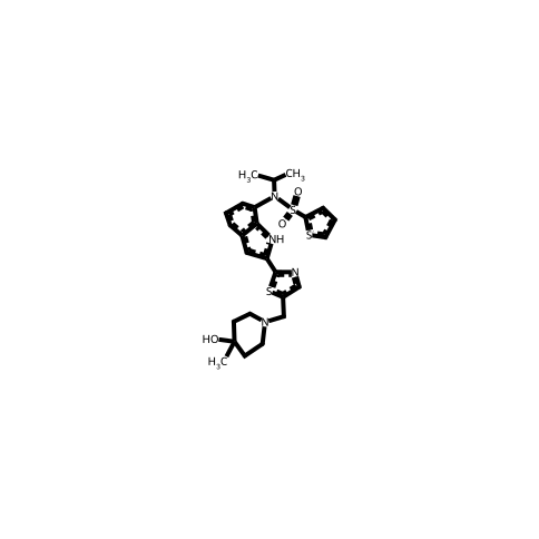 CC(C)N(c1cccc2cc(-c3ncc(CN4CCC(C)(O)CC4)s3)[nH]c12)S(=O)(=O)c1cccs1